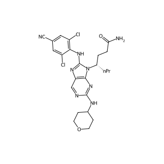 CCC[C@@H](CCC(N)=O)n1c(Nc2c(Cl)cc(C#N)cc2Cl)nc2cnc(NC3CCOCC3)nc21